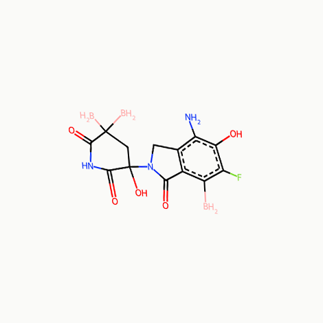 Bc1c(F)c(O)c(N)c2c1C(=O)N(C1(O)CC(B)(B)C(=O)NC1=O)C2